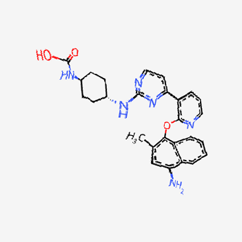 Cc1cc(N)c2ccccc2c1Oc1ncccc1-c1ccnc(N[C@H]2CC[C@H](NC(=O)O)CC2)n1